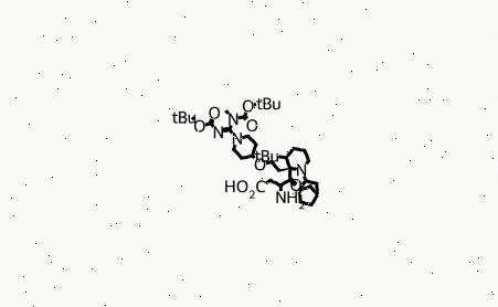 CN(C(=O)OC(C)(C)C)C(=NC(=O)OC(C)(C)C)N1CCC(OCC[C@@]2(C(=O)C(N)CC(=O)O)C(C(C)(C)C)CCCN2C2CC3CCC2C3)CC1